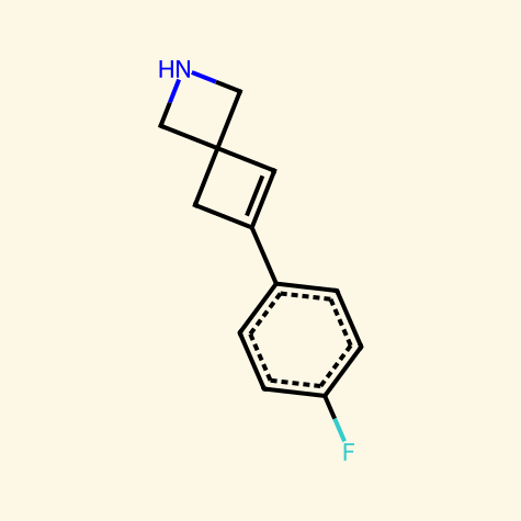 Fc1ccc(C2=CC3(CNC3)C2)cc1